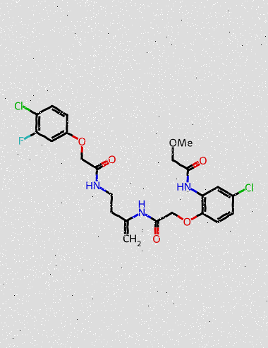 C=C(CCNC(=O)COc1ccc(Cl)c(F)c1)NC(=O)COc1ccc(Cl)cc1NC(=O)COC